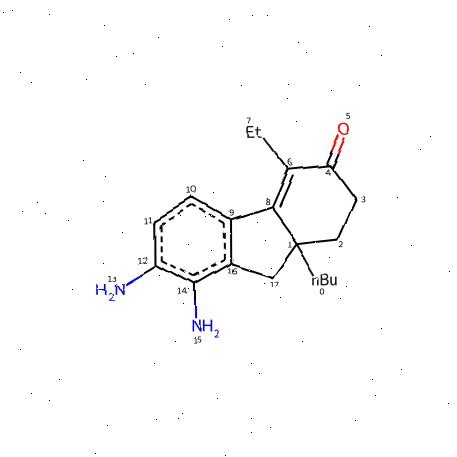 CCCCC12CCC(=O)C(CC)=C1c1ccc(N)c(N)c1C2